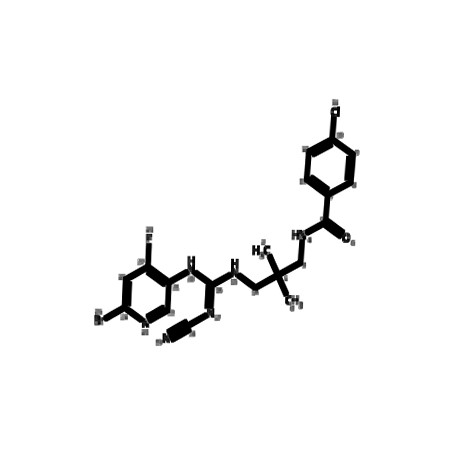 CC(C)(CNC(=O)c1ccc(Cl)cc1)CNC(=NC#N)Nc1cnc(Br)cc1F